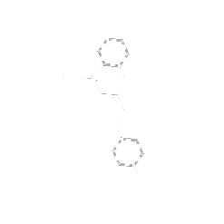 CN1CC(COc2ccc(C=O)cc2)Oc2ccccc21